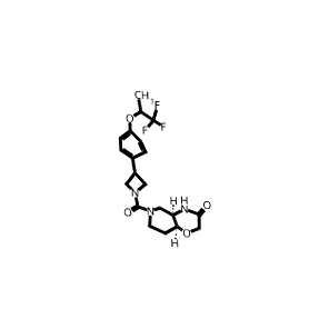 CC(Oc1ccc(C2CN(C(=O)N3CC[C@@H]4OCC(=O)N[C@@H]4C3)C2)cc1)C(F)(F)F